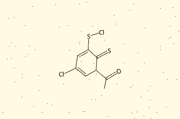 CC(=O)C1C=C(Cl)C=C(SCl)C1=S